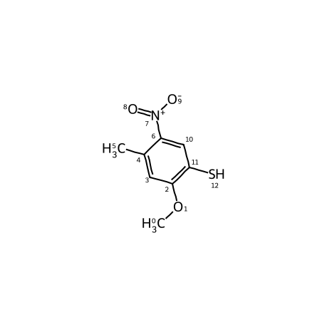 COc1cc(C)c([N+](=O)[O-])cc1S